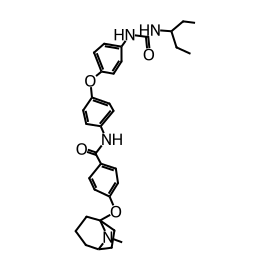 CCC(CC)NC(=O)Nc1ccc(Oc2ccc(NC(=O)c3ccc(OC45CCCC(CC4)N5C)cc3)cc2)cc1